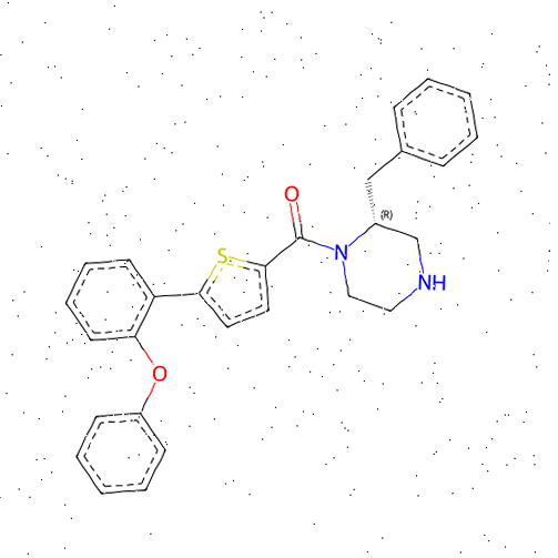 O=C(c1ccc(-c2ccccc2Oc2ccccc2)s1)N1CCNC[C@H]1Cc1ccccc1